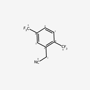 N#CCc1cc(C(F)(F)F)ccc1C(F)(F)F